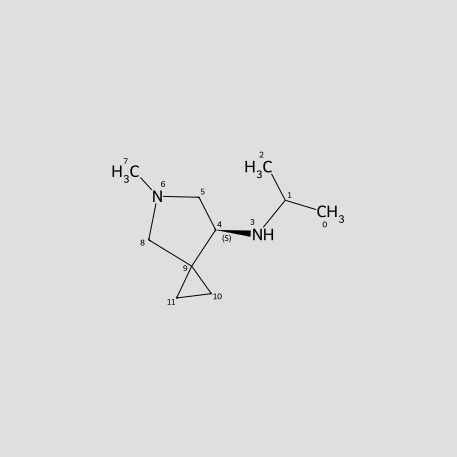 CC(C)N[C@@H]1CN(C)CC12CC2